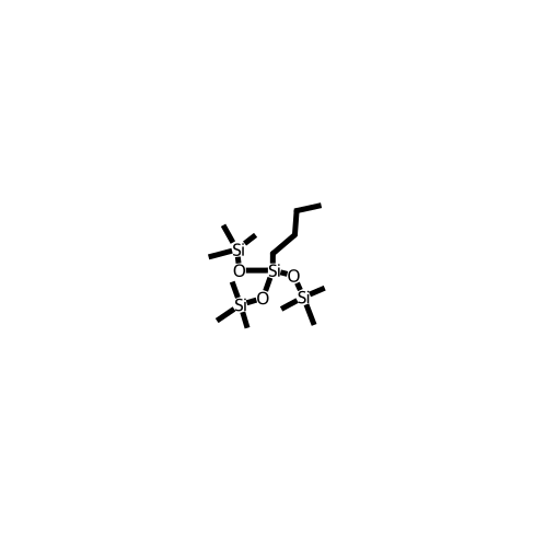 CCCC[Si](O[Si](C)(C)C)(O[Si](C)(C)C)O[Si](C)(C)C